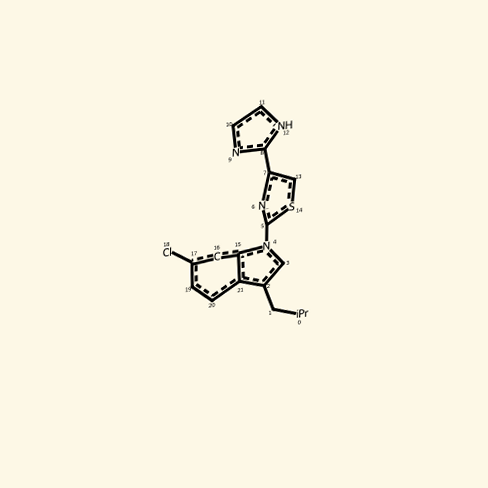 CC(C)Cc1cn(-c2nc(-c3ncc[nH]3)cs2)c2cc(Cl)ccc12